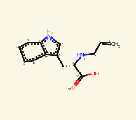 C=CCN[C@@H](Cc1c[nH]c2ccccc12)C(=O)O